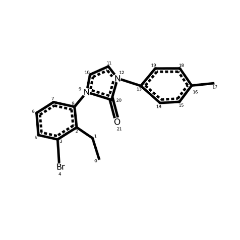 CCc1c(Br)cccc1-n1ccn(-c2ccc(C)cc2)c1=O